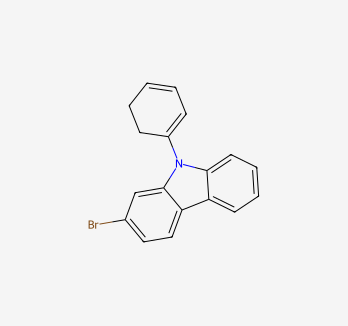 Brc1ccc2c3ccccc3n(C3=CC=CCC3)c2c1